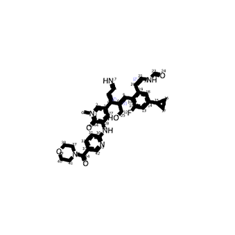 Cn1cc(C(=C/C=N)/C(=C/c2c(F)cc(C3CC3)cc2/C=C\NC=O)CO)cc(Nc2ccc(C(=O)N3CCOCC3)cn2)c1=O